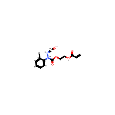 C=CC(=O)OCCOC(=O)N(N=C=O)c1ccccc1C